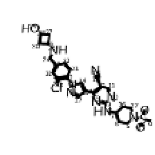 CS(=O)(=O)N1CCC(Nc2ncc(C#N)c(-c3cnn(-c4ccc(CN[C@H]5C[C@@H](O)C5)cc4Cl)c3)n2)CC1